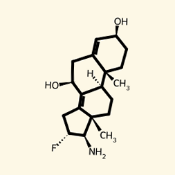 C[C@]12CC[C@H](O)C=C1C[C@H](O)C1=C3C[C@@H](F)[C@H](N)[C@@]3(C)CC[C@@H]12